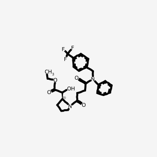 CCOC(=O)C(O)[C@@H]1CCCN1C(=O)CCC(=O)N(Cc1ccc(C(F)(F)F)cc1)c1ccccc1